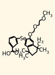 COCCOCOc1cc2c(cc1[Se]c1cccc(C(=O)O)c1)C(C)(C)CCC2(C)C